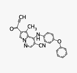 C#CC(=O)c1cn2ncc(C#N)c(Nc3ccc(Oc4ccccc4)cc3)c2c1C